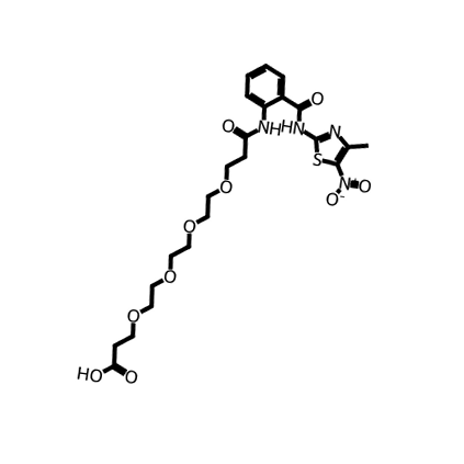 Cc1nc(NC(=O)c2ccccc2NC(=O)CCOCCOCCOCCOCCC(=O)O)sc1[N+](=O)[O-]